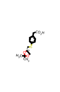 CC1(C)OC[C@@H](CSc2ccc(CC(=O)O)cc2)O1